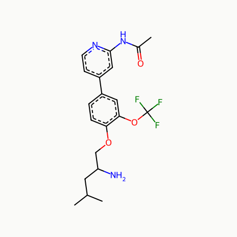 CC(=O)Nc1cc(-c2ccc(OCC(N)CC(C)C)c(OC(F)(F)F)c2)ccn1